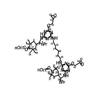 CCCCCCCCON1C(C)(C)CC(C(CCC)Nc2nc(NCCCCCCNc3nc(NC(CCC)C4CC(C)(C)N(OCCCCCCCC)C(C)(C)C4)nc(OCC4CO4)n3)nc(OCC3CO3)n2)CC1(C)C